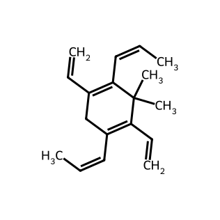 C=CC1=C(/C=C\C)C(C)(C)C(C=C)=C(/C=C\C)C1